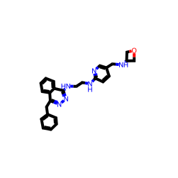 c1ccc(Cc2nnc(NCCNc3ccc(CNC4COC4)cn3)c3ccccc23)cc1